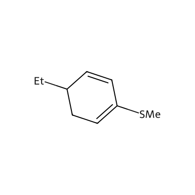 CCC1C=CC(SC)=CC1